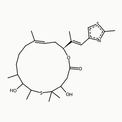 C/C1=C\C[C@@H](/C(C)=C/c2csc(C)n2)OC(=O)CC(O)C(C)(C)SC(C)C(O)C(C)CCC1